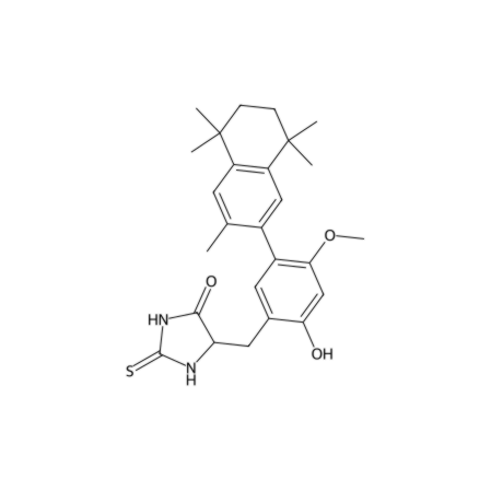 COc1cc(O)c(CC2NC(=S)NC2=O)cc1-c1cc2c(cc1C)C(C)(C)CCC2(C)C